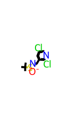 CC(C)(C)[S@+]([O-])/N=C/c1cc(Cl)cnc1Cl